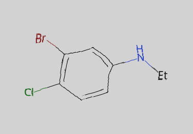 CCNc1ccc(Cl)c(Br)c1